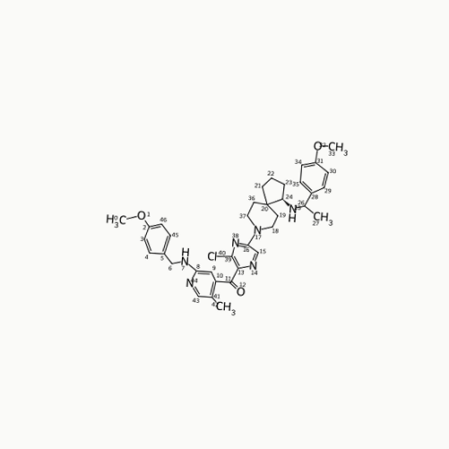 COc1ccc(CNc2cc(C(=O)c3ncc(N4CCC5(CCC[C@H]5NC(C)c5ccc(OC)cc5)CC4)nc3Cl)c(C)cn2)cc1